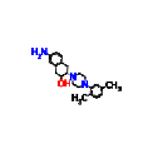 Cc1ccc(C)c(N2CCN([C@H]3Cc4ccc(N)cc4C[C@@H]3O)CC2)c1